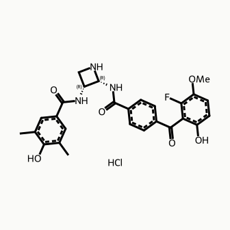 COc1ccc(O)c(C(=O)c2ccc(C(=O)N[C@H]3NC[C@H]3NC(=O)c3cc(C)c(O)c(C)c3)cc2)c1F.Cl